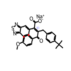 COc1ccc(C(=O)/C(Cc2ccc(C(C)(C)C)cc2)=C(/C(=O)[O-])c2ccc3nsnc3c2)cc1.[Na+]